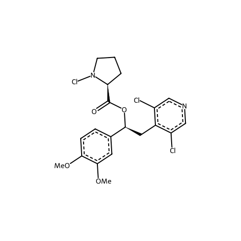 COc1ccc([C@H](Cc2c(Cl)cncc2Cl)OC(=O)[C@@H]2CCCN2Cl)cc1OC